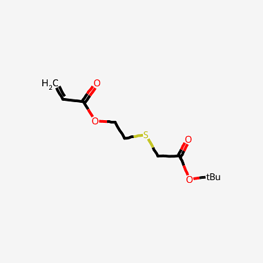 C=CC(=O)OCCSCC(=O)OC(C)(C)C